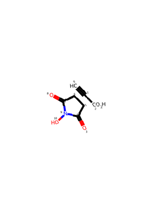 C#CC(=O)O.O=C1CCC(=O)N1O